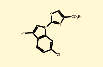 CCOC(=O)c1csc(-n2cc(C(C)C)c3ccc(Cl)cc32)n1